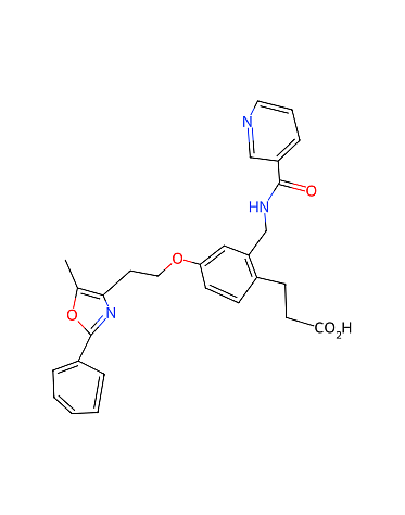 Cc1oc(-c2ccccc2)nc1CCOc1ccc(CCC(=O)O)c(CNC(=O)c2cccnc2)c1